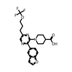 O=C(O)C1CCN(c2nc(CCCOC(F)(F)F)cnc2-c2ccc3occc3c2)CC1